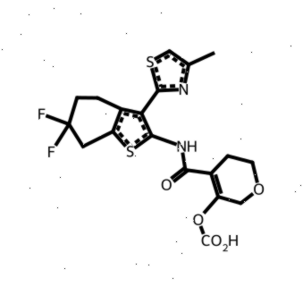 Cc1csc(-c2c(NC(=O)C3=C(OC(=O)O)COCC3)sc3c2CCC(F)(F)C3)n1